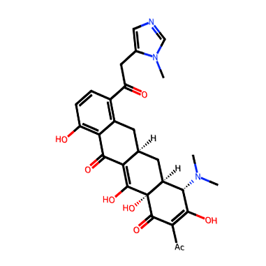 CC(=O)C1=C(O)[C@@H](N(C)C)[C@@H]2C[C@@H]3Cc4c(C(=O)Cc5cncn5C)ccc(O)c4C(=O)C3=C(O)[C@]2(O)C1=O